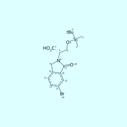 CC(C)(C)[Si](C)(C)OC[C@@H](C(=O)O)N1Cc2ccc(Br)cc2C1=O